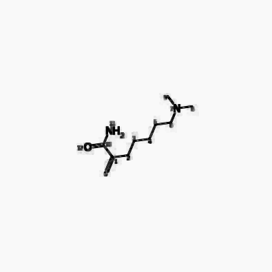 C=C(CCCCCN(C)C)C(N)=O